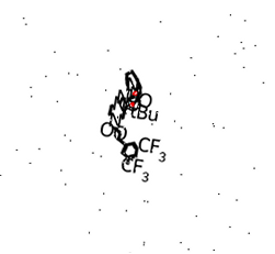 CC(c1cc2n(n1)CCN(C(=O)OCc1cc(C(F)(F)F)cc(C(F)(F)F)c1)C2)N1C2CCC1CN(C(=O)OC(C)(C)C)C2